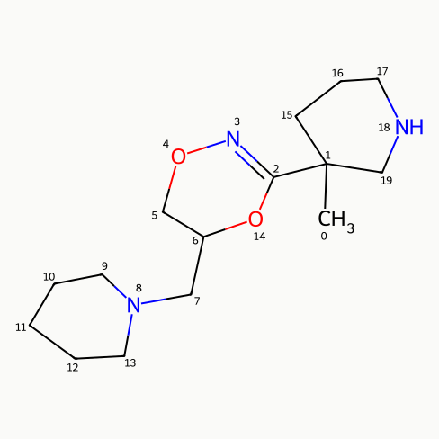 CC1(C2=NOCC(CN3CCCCC3)O2)CCCNC1